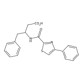 O=C(O)CC(Cc1ccccc1)NC(=O)c1nc(-c2ccccc2)cs1